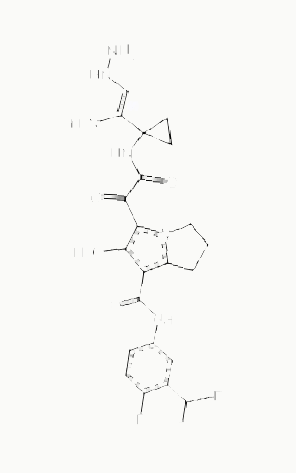 Cc1c(C(=O)Nc2ccc(F)c(C(F)F)c2)c2n(c1C(=O)C(=O)NC1(/C(N)=C/NN)CC1)CCC2